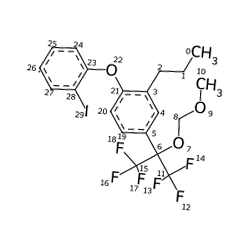 CCCc1cc(C(OCOC)(C(F)(F)F)C(F)(F)F)ccc1Oc1cc[c]cc1I